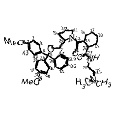 COc1ccc(C(OCC2CCCN2C(=O)C2CCCCC2C(=O)NCCN(C)C)(c2ccccc2)c2ccc(OC)cc2)cc1